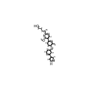 COc1nc(N(C)CCCO)ncc1-c1ccc(Oc2ccnc(-c3cn[nH]c3)c2)c(C)n1